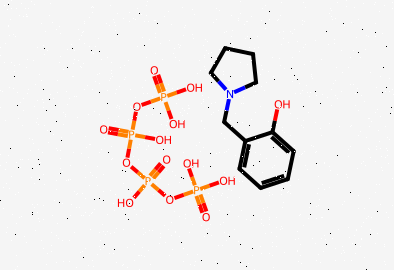 O=P(O)(O)OP(=O)(O)OP(=O)(O)OP(=O)(O)O.Oc1ccccc1CN1CCCC1